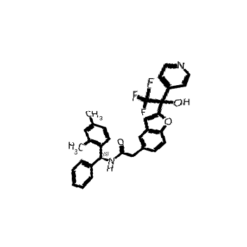 Cc1ccc([C@@H](NC(=O)Cc2ccc3oc(C(O)(c4ccncc4)C(F)(F)F)cc3c2)c2ccccc2)c(C)c1